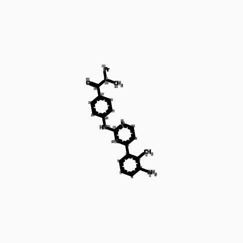 Cc1c(N)cccc1-c1ccnc(Nc2ccc(C(=O)N(C)C(C)C)cc2)n1